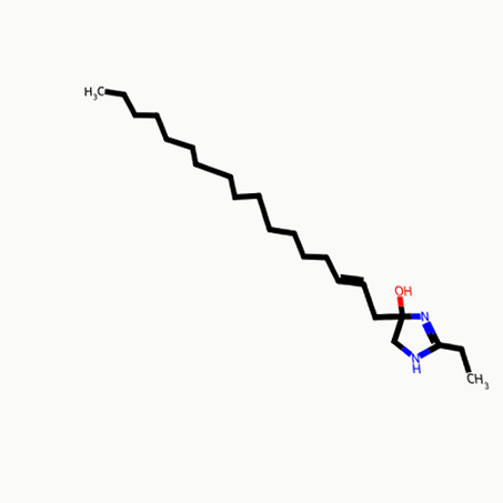 CCCCCCCCCCCCCCC=CCC1(O)CNC(CC)=N1